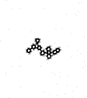 C1=C(c2ccc3c(c2)c2cc(-c4ccccc4)ccc2n3-c2ccccc2)C=C(c2c3c(c(-c4ccc5ccccc5c4)c4ccccc24)=CCCC=3)CC1